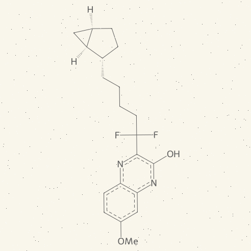 COc1ccc2nc(C(F)(F)CCCC[C@H]3CC[C@@H]4C[C@H]34)c(O)nc2c1